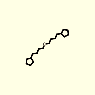 C(CCC1CCCC1)COCCCCC1CCCC1